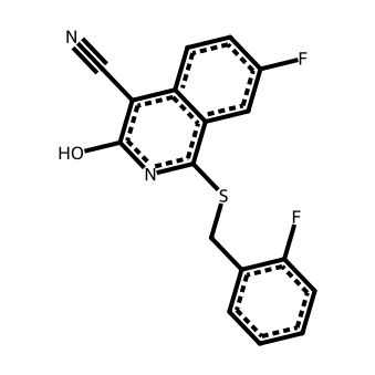 N#Cc1c(O)nc(SCc2ccccc2F)c2cc(F)ccc12